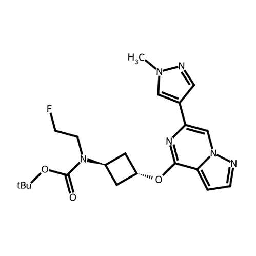 Cn1cc(-c2cn3nccc3c(O[C@H]3C[C@H](N(CCF)C(=O)OC(C)(C)C)C3)n2)cn1